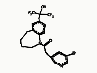 O=C(Cc1cncc(Br)c1)N1CCCCc2cc(C(O)(C(F)(F)F)C(F)(F)F)ccc21